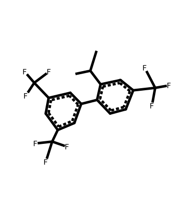 CC(C)c1cc(C(F)(F)F)ccc1-c1cc(C(F)(F)F)cc(C(F)(F)F)c1